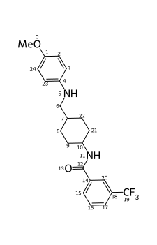 COc1ccc(NCC2CCC(NC(=O)c3cccc(C(F)(F)F)c3)CC2)cc1